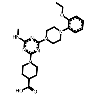 CCOc1ccccc1N1CCN(c2nc(NC)nc(N3CCC(C(=O)O)CC3)n2)CC1